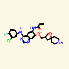 C=CC(=O)Nc1cc2c(Nc3ccc(F)c(Cl)c3)ncnc2cc1OCC1COC2(CCNCC2)C1